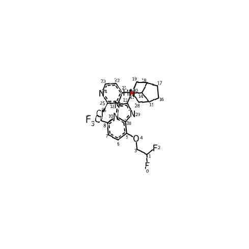 FC(F)COc1ccc(C(F)(F)F)n2nc(NC3C4CCC3CN(c3ccnc(Cl)c3)C4)nc12